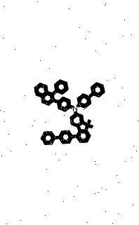 CC1(C)C2=CC(N(c3ccc(-c4ccccc4)cc3)c3ccc(-c4ccc5ccccc5c4-c4ccccc4)cc3)=CCC2c2c(-c3ccc(-c4ccccc4)cc3)cccc21